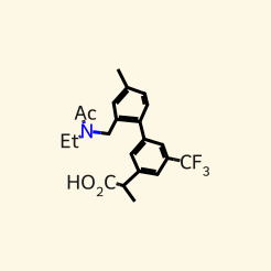 CCN(Cc1cc(C)ccc1-c1cc(C(C)C(=O)O)cc(C(F)(F)F)c1)C(C)=O